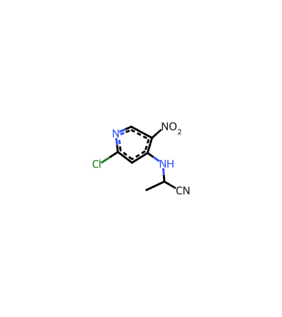 CC(C#N)Nc1cc(Cl)ncc1[N+](=O)[O-]